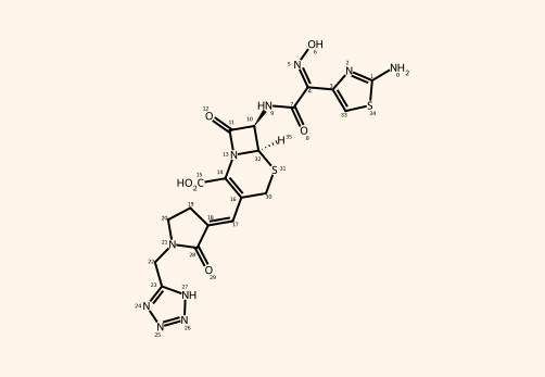 Nc1nc(C(=NO)C(=O)N[C@@H]2C(=O)N3C(C(=O)O)=C(C=C4CCN(Cc5nnn[nH]5)C4=O)CS[C@H]23)cs1